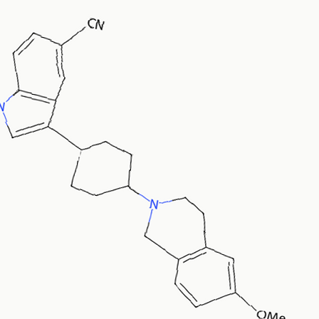 COc1ccc2c(c1)CCN(C1CCC(c3c[nH]c4ccc(C#N)cc34)CC1)C2